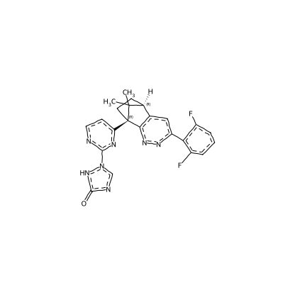 CC1(C)[C@H]2CC[C@@]1(c1ccnc(-n3cnc(=O)[nH]3)n1)c1nnc(-c3c(F)cccc3F)cc12